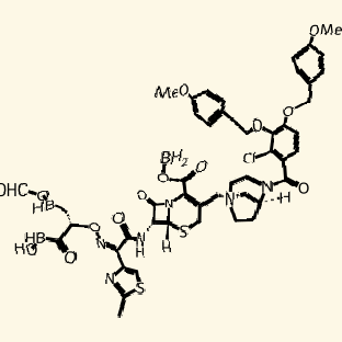 BOC(=O)C1=C(C[N@@+]23CC[C@@H](C2)N(C(=O)c2ccc(OCc4ccc(OC)cc4)c(OCc4ccc(OC)cc4)c2Cl)CC3)CS[C@@H]2[C@H](NC(=O)/C(=N\O[C@@H](CBOC=O)C(=O)BO)c3csc(C)n3)C(=O)N12